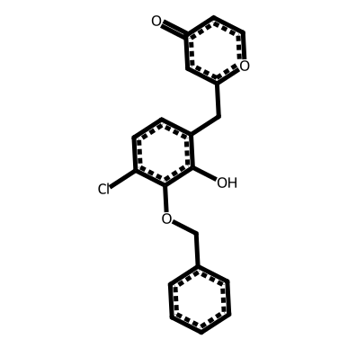 O=c1ccoc(Cc2ccc(Cl)c(OCc3ccccc3)c2O)c1